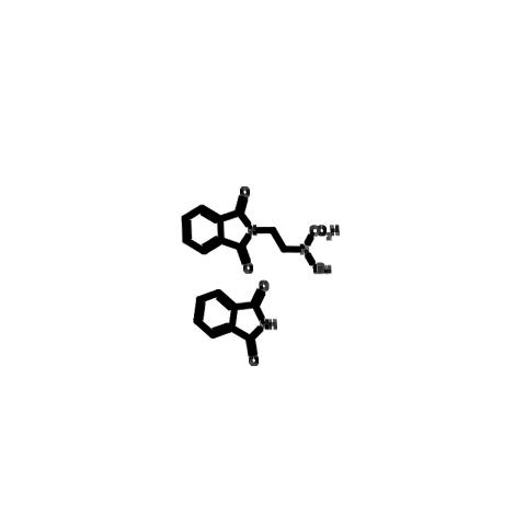 CC(C)(C)N(CCN1C(=O)c2ccccc2C1=O)C(=O)O.O=C1NC(=O)c2ccccc21